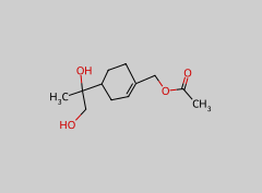 CC(=O)OCC1=CCC(C(C)(O)CO)CC1